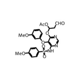 COc1ccc(S(=O)(=O)Nc2ncnc(OC(CC=O)OC(C)=O)c2Oc2cccc(OC)c2)cc1